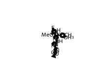 COc1cc(F)cnc1-c1cnc(Nc2ccnc(-c3cnn(S(=O)(=O)C4CC4)c3)n2)cc1NC1CCC(C)(O)CC1